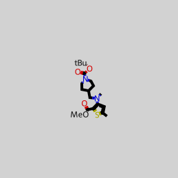 COC(=O)c1sc(C)cc1N(C)CC1CCN(C(=O)OC(C)(C)C)CC1